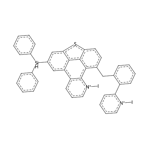 I[n+]1ccccc1-c1ccccc1Cc1ccc2sc3cc([SiH](c4ccccc4)c4ccccc4)cc4c5ccc[n+](I)c5c1c2c34